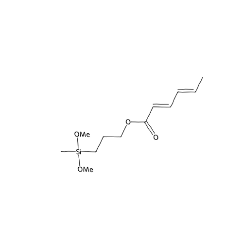 C/C=C/C=C/C(=O)OCCC[Si](C)(OC)OC